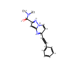 CCN(CC)C(=O)c1cc2nc(C#Cc3ccccc3)ccn2n1